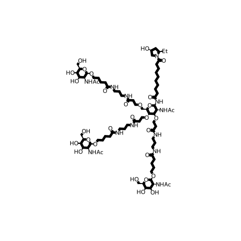 CC[C@@H]1C[C@@H](O)CN1C(=O)CCCCCCCCC(=O)N[C@@H]1O[C@H](COCCC(=O)NCCCNC(=O)CCCCO[C@@H]2O[C@H](CO)[C@H](O)[C@H](O)[C@H]2NC(C)=O)[C@@H](OCCC(=O)NCCCNC(=O)CCCCO[C@@H]2O[C@H](CO)[C@H](O)[C@H](O)[C@H]2NC(C)=O)[C@H](OCCC(=O)NCCCNC(=O)CCCCO[C@@H]2O[C@H](CO)[C@H](O)[C@H](O)[C@H]2NC(C)=O)[C@H]1NC(C)=O